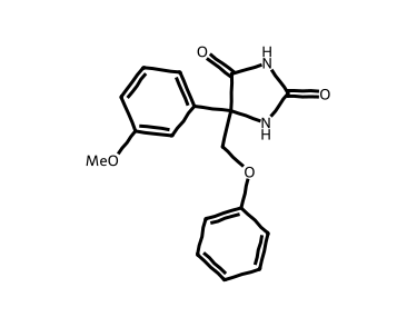 COc1cccc(C2(COc3ccccc3)NC(=O)NC2=O)c1